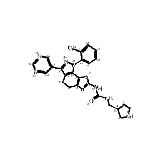 O=C(NC[C@H]1CCNC1)Nc1nc2c(s1)-c1c(c(-c3cncnc3)nn1-c1ccccc1Cl)CC2